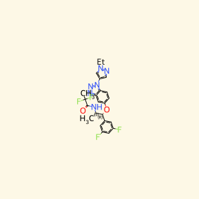 CCn1cc(-n2nnc3cc(O[C@H](c4cc(F)cc(F)c4)[C@H](C)NC(=O)C(C)(F)F)ccc32)cn1